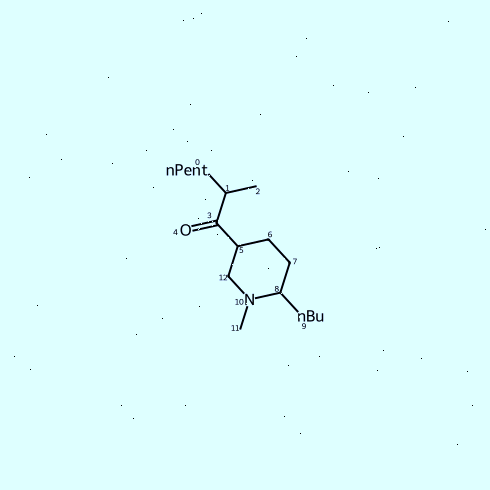 CCCCCC(C)C(=O)C1CCC(CCCC)N(C)C1